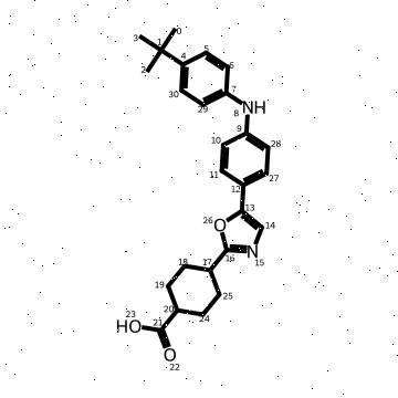 CC(C)(C)c1ccc(Nc2ccc(-c3cnc(C4CCC(C(=O)O)CC4)o3)cc2)cc1